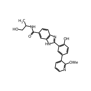 COc1ncccc1-c1ccc(O)c(-c2nc3ccc(C(=O)NC(C)CO)cc3[nH]2)c1